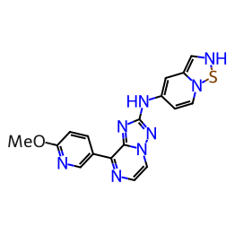 COc1ccc(-c2nccn3nc(NC4=CC5=CNSN5C=C4)nc23)cn1